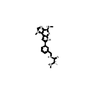 CNc1nc2[nH]c(-c3cccc(CNC(=O)[C@H](C)NC)c3)cc2c2c1ncn2C